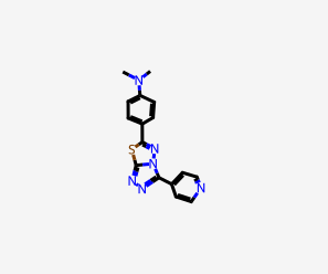 CN(C)c1ccc(-c2nn3c(-c4ccncc4)nnc3s2)cc1